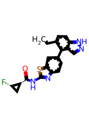 C=Cc1ccc2[nH]ncc2c1-c1ccc2nc(NC(=O)[C@@H]3C[C@@H]3F)sc2c1